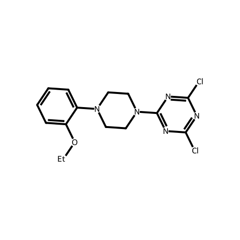 CCOc1ccccc1N1CCN(c2nc(Cl)nc(Cl)n2)CC1